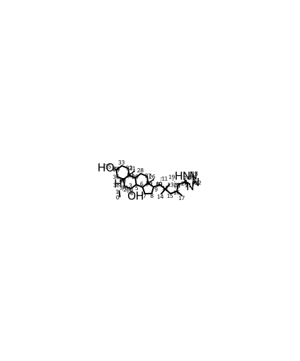 CC[C@H]1[C@@H](O)C2C3CCC([C@H](C)C(C)(C)CC(C)[C@H](C)c4nnn[nH]4)[C@@]3(C)CCC2[C@@]2(C)CC[C@@H](O)C[C@@H]12